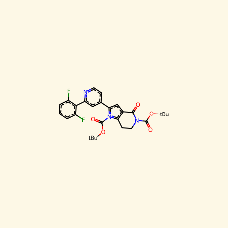 CC(C)(C)OC(=O)N1CCc2c(cc(-c3ccnc(-c4c(F)cccc4F)c3)n2C(=O)OC(C)(C)C)C1=O